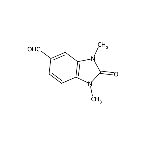 Cn1c(=O)n(C)c2cc(C=O)ccc21